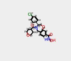 O=C(NO)c1ccc2c(c1)OC[C@H](C1C=CC(Cl)=CC1)N(C(=O)C1CCOCC1)C2